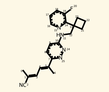 C/C(C#N)=C\C=C(/C)c1ccc(NCC2(c3ncccc3F)CCC2)nn1